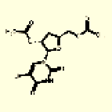 CC(=O)OC[C@@H]1C[C@@H](OC(C)=O)[C@H](n2cc(Cl)c(=O)[nH]c2=O)O1